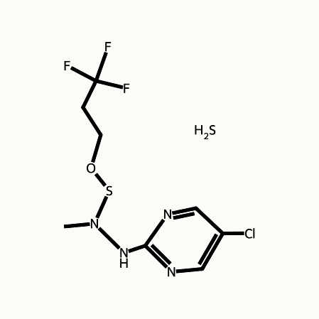 CN(Nc1ncc(Cl)cn1)SOCCC(F)(F)F.S